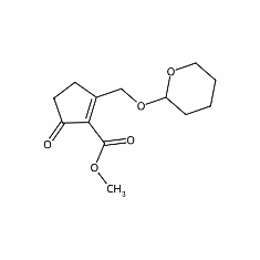 COC(=O)C1=C(COC2CCCCO2)CCC1=O